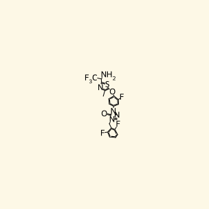 Cc1nc(C(N)C(F)(F)F)sc1Oc1ccc(-n2ncn(Cc3c(F)cccc3F)c2=O)cc1F